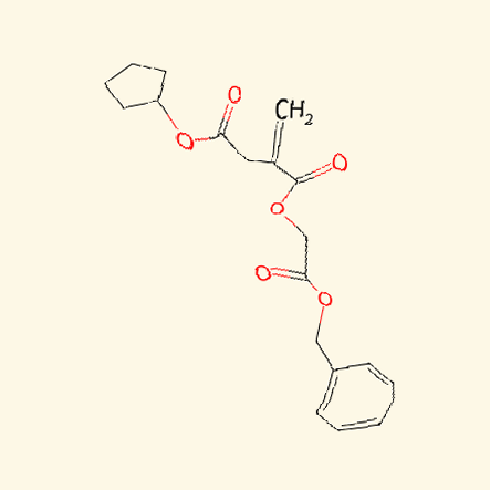 C=C(CC(=O)OC1CCCC1)C(=O)OCC(=O)OCc1ccccc1